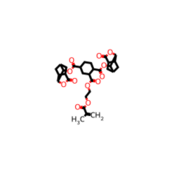 C=C(C)C(=O)OCCOC(=O)C1CC(C(=O)OC2C3CC4C(=O)OC2C4C3)CCC1C(=O)OC1C2CC3C(=O)OC1C3C2